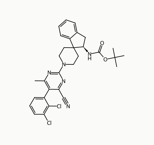 Cc1nc(N2CCC3(CC2)c2ccccc2C[C@H]3NC(=O)OC(C)(C)C)nc(C#N)c1-c1cccc(Cl)c1Cl